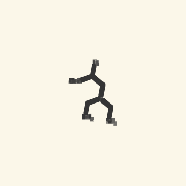 CCC(CN(CN)CN)OC